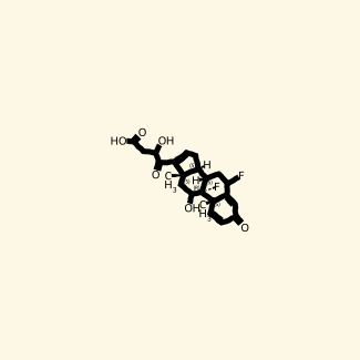 C[C@]12C=CC(=O)C=C1C(F)C[C@H]1[C@@H]3CC=C(C(=O)C(O)CC(=O)O)[C@@]3(C)CC(O)[C@@]12F